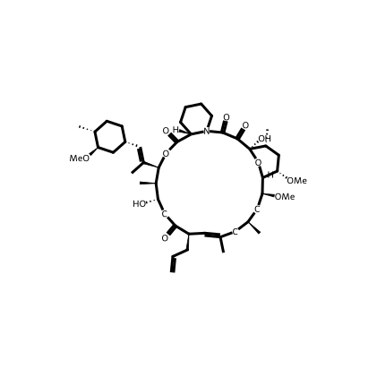 C=CC[C@@H]1/C=C(\C)C[C@H](C)C[C@H](OC)[C@H]2O[C@@](O)(C(=O)C(=O)N3CCCC[C@H]3C(=O)O[C@H](/C(C)=C/[C@H]3CC[C@@H](C)[C@H](OC)C3)[C@H](C)[C@@H](O)CC1=O)[C@H](C)C[C@@H]2OC